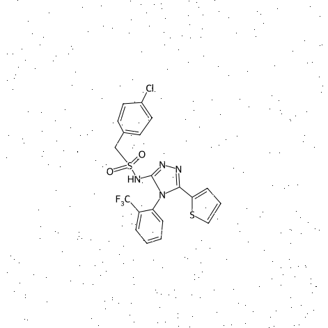 O=S(=O)(Cc1ccc(Cl)cc1)Nc1nnc(-c2cccs2)n1-c1ccccc1C(F)(F)F